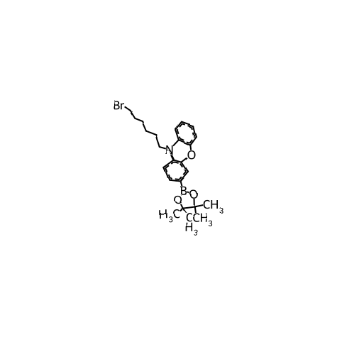 CC1(C)OB(c2ccc3c(c2)Oc2ccccc2N3CCCCCCBr)OC1(C)C